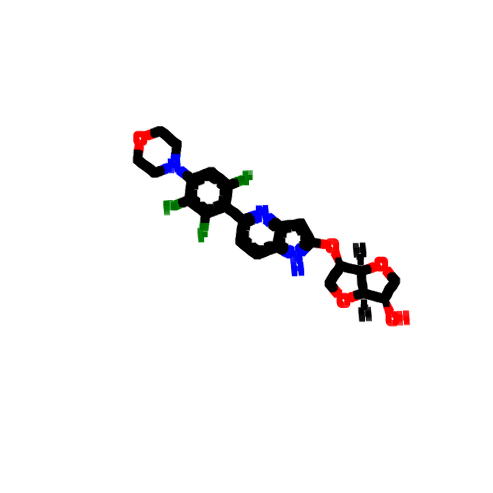 O[C@@H]1CO[C@H]2[C@@H]1OC[C@H]2Oc1cc2nc(-c3c(F)cc(N4CCOCC4)c(F)c3F)ccc2[nH]1